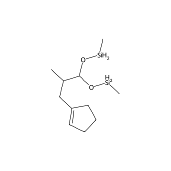 C[SiH2]OC(O[SiH2]C)C(C)CC1=CCCC1